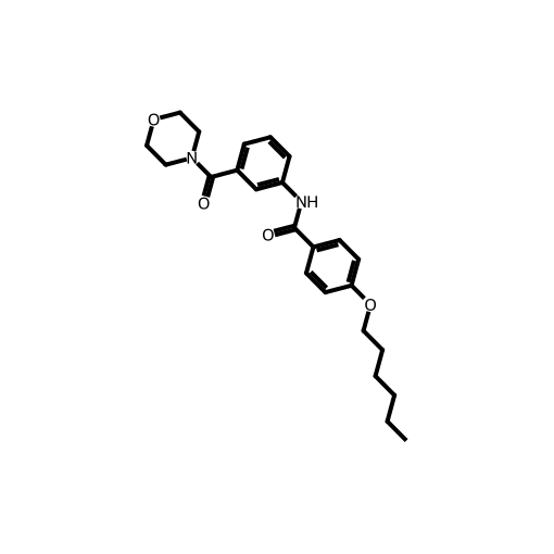 CCCCCCOc1ccc(C(=O)Nc2cccc(C(=O)N3CCOCC3)c2)cc1